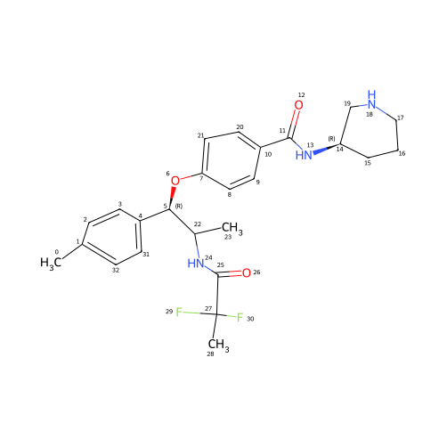 Cc1ccc([C@@H](Oc2ccc(C(=O)N[C@@H]3CCCNC3)cc2)C(C)NC(=O)C(C)(F)F)cc1